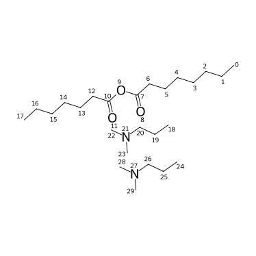 CCCCCCCC(=O)OC(=O)CCCCCC.CCCN(C)C.CCCN(C)C